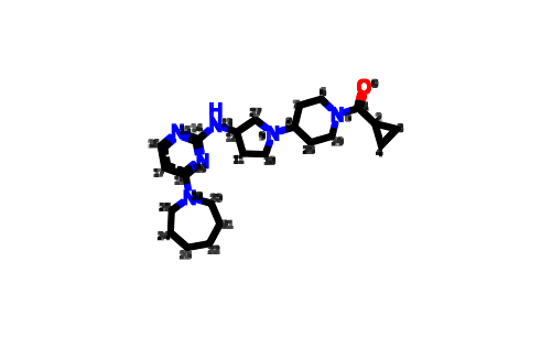 O=C(C1CC1)N1CCC(N2CCC(Nc3nccc(N4CCCCCC4)n3)C2)CC1